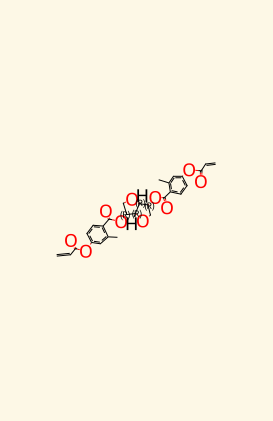 C=CC(=O)Oc1ccc(C(=O)O[C@@H]2CO[C@H]3[C@@H]2OC[C@H]3OC(=O)c2ccc(OC(=O)C=C)cc2C)c(C)c1